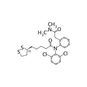 CN(C)C(=O)Cc1ccccc1N(C(=O)CCCC[C@H]1CCSS1)c1c(Cl)cccc1Cl